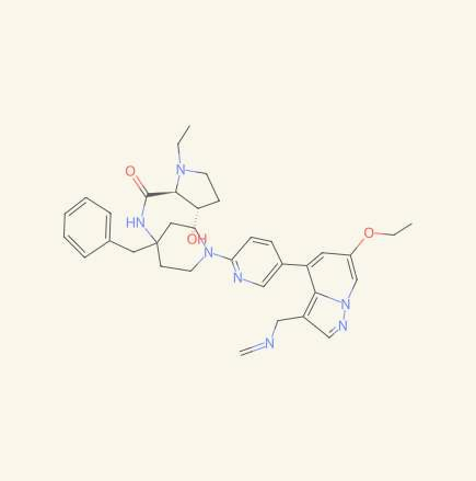 C=NCc1cnn2cc(OCC)cc(-c3ccc(N4CCC(Cc5ccccc5)(NC(=O)[C@@H]5[C@@H](O)CCN5CC)CC4)nc3)c12